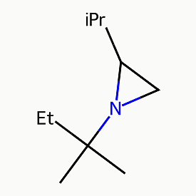 CCC(C)(C)N1CC1C(C)C